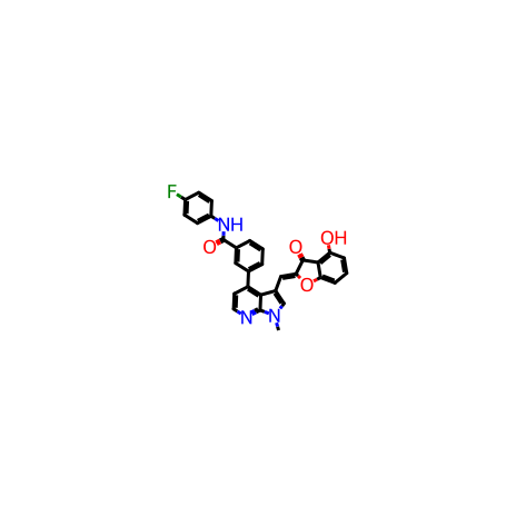 Cn1cc(C=C2Oc3cccc(O)c3C2=O)c2c(-c3cccc(C(=O)Nc4ccc(F)cc4)c3)ccnc21